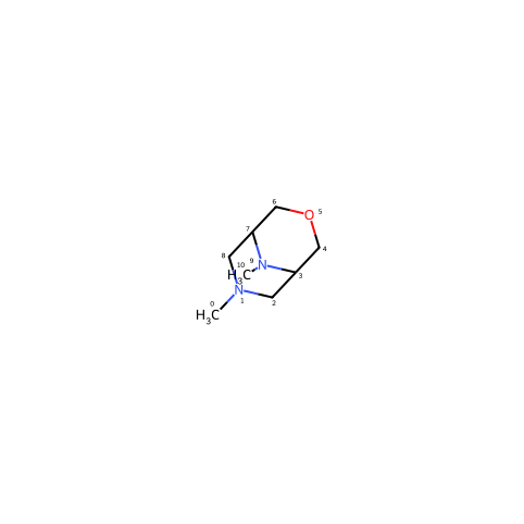 CN1CC2COCC(C1)N2C